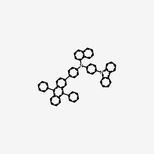 c1ccc(-c2c3ccccc3c(-c3ccccc3)c3cc(-c4ccc(N(c5ccc(-n6c7ccccc7c7ccccc76)cc5)c5cccc6ccccc56)cc4)ccc23)cc1